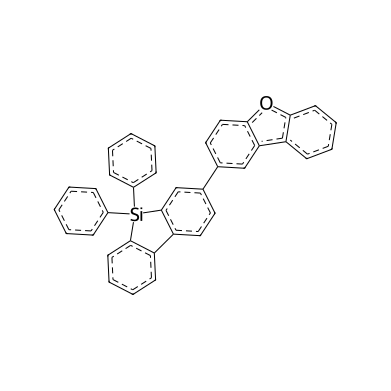 c1ccc([Si]2(c3ccccc3)c3ccccc3-c3ccc(-c4ccc5oc6ccccc6c5c4)cc32)cc1